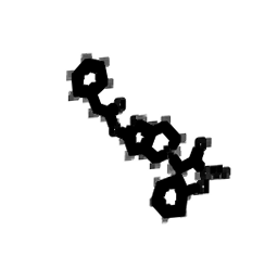 COC(=O)[C@H](c1ccccc1Cl)N1CCc2sc(OC(=O)Cc3ccccc3)cc2C1